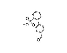 O=Cc1ccc(-c2ccccc2S(=O)(=O)O)cc1